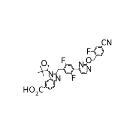 CC1(C)COCC1n1c(Cc2cc(F)c(-c3ccnc(OCc4ccc(C#N)cc4F)n3)cc2F)nc2ccc(C(=O)O)cc21